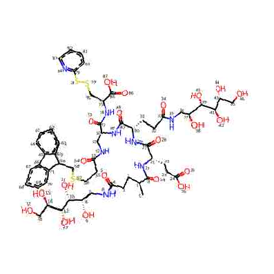 C[C@@H](CCC(=O)NC[C@H](O)[C@@H](O)[C@H](O)[C@H](O)CO)C(=O)N[C@@H](CCC(=O)O)C(=O)N[C@@H](CCC(=O)NC[C@H](O)[C@@H](O)[C@H](O)[C@H](O)CO)C(=O)N[C@@H](CNC(=O)CCSCC1c2ccccc2-c2ccccc21)C(=O)N[C@@H](CSSc1ccccn1)C(=O)O